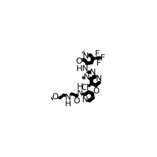 COCCNCC(=O)Nc1cc(Oc2cnc3nc(Nc4cc(C(F)(F)F)cn(C)c4=O)n(C)c3c2Cl)ccn1